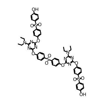 CCN(CC)c1nc(Oc2ccc(S(=O)(=O)c3ccc(O)cc3)cc2)nc(Oc2ccc(S(=O)(=O)c3ccc(Oc4nc(Oc5ccc(S(=O)(=O)c6ccc(O)cc6)cc5)nc(N(CC)CC)n4)cc3)cc2)n1